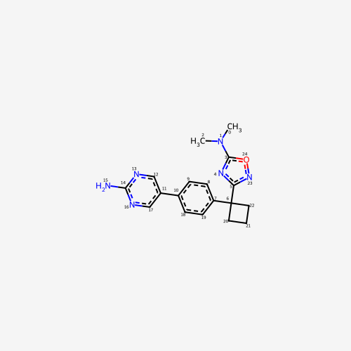 CN(C)c1nc(C2(c3ccc(-c4cnc(N)nc4)cc3)CCC2)no1